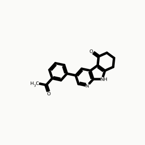 CC(=O)c1cccc(-c2cnc3[nH]c4c(c3c2)C(=O)CCC4)c1